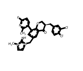 Cc1nc(F)ccc1-c1cc(Cn2ccn(C)c2=N)cc2c1OC[C@@H](Cc1ccc(Cl)c(Cl)c1)C2=O